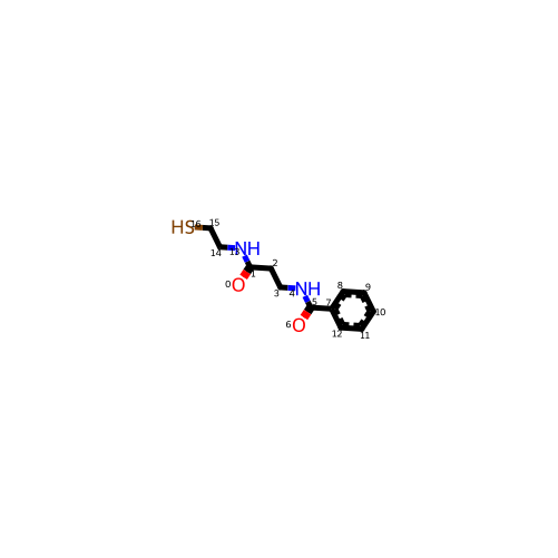 O=C(CCNC(=O)c1ccccc1)NCCS